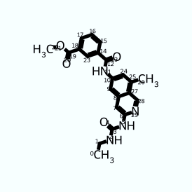 CCNC(=O)Nc1cc2cc(NC(=O)c3cccc(C(=O)OC)c3)cc(C)c2cn1